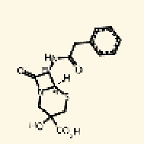 O=C(Cc1ccccc1)N[C@@H]1C(=O)N2CC(O)(C(=O)O)CS[C@H]12